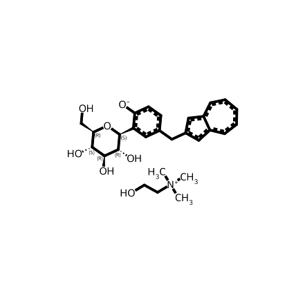 C[N+](C)(C)CCO.[O-]c1ccc(Cc2cc3cccccc-3c2)cc1[C@@H]1O[C@H](CO)[C@@H](O)[C@H](O)[C@H]1O